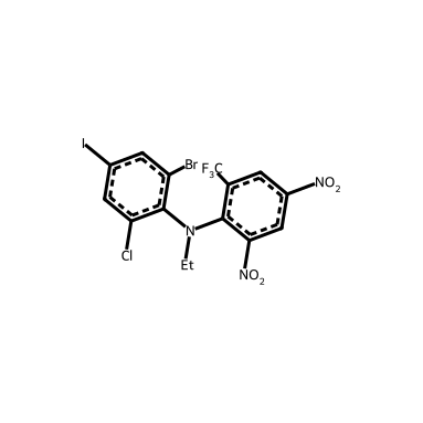 CCN(c1c(Cl)cc(I)cc1Br)c1c([N+](=O)[O-])cc([N+](=O)[O-])cc1C(F)(F)F